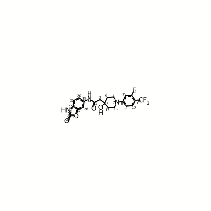 O=C(CC1(O)CCN(c2ccc(C(F)(F)F)c(F)c2)CC1)Nc1ccc2[nH]c(=O)oc2c1